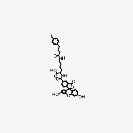 O=C(CCCc1ccc(I)cc1)NCCCCC(NC(=O)c1ccc2c(c1)C(=O)OC21c2ccc(O)cc2Oc2cc(O)ccc21)C(=O)O